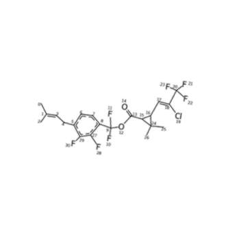 CC(C)=CCc1ccc(C(F)(F)OC(=O)C2C(C=C(Cl)C(F)(F)F)C2(C)C)c(F)c1F